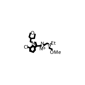 CCN(CCOC)Cc1nc(-c2cn(CC3CCOCC3)c3c(Cl)cccc23)ns1